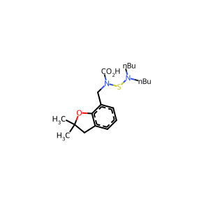 CCCCN(CCCC)SN(Cc1cccc2c1OC(C)(C)C2)C(=O)O